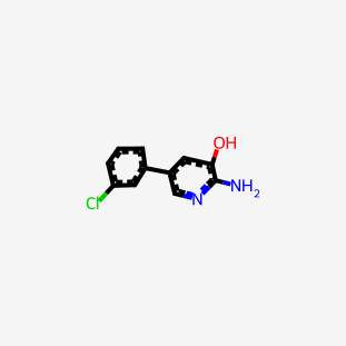 Nc1ncc(-c2cccc(Cl)c2)cc1O